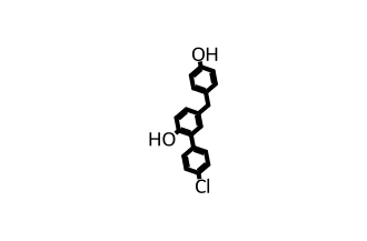 Oc1ccc(Cc2ccc(O)c(-c3ccc(Cl)cc3)c2)cc1